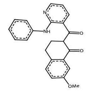 COc1ccc2c(c1)C(=O)C(C(=O)c1cccnc1Nc1ccccc1)CC2